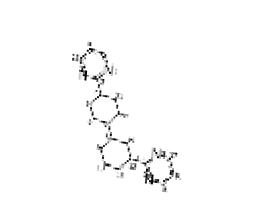 c1cnc(C2CCC(C3CCCC(c4ncccn4)C3)CC2)nc1